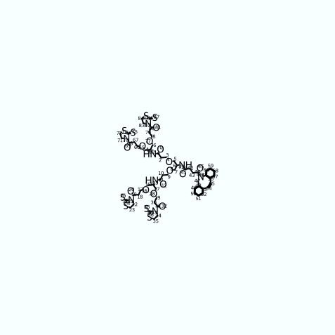 O=C(CCOCC(COCCC(=O)NC(COCCC(=O)N1CCSC1=S)COCCC(=O)N1CCSC1=S)NC(=O)CCC(=O)N1Cc2ccccc2C#Cc2ccccc21)NC(COCCC(=O)N1CCSC1=S)COCCC(=O)N1CCSC1=S